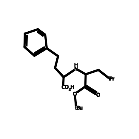 CC(C)CC(NC(CCc1ccccc1)C(=O)O)C(=O)OC(C)(C)C